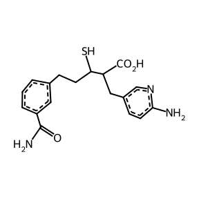 NC(=O)c1cccc(CCC(S)C(Cc2ccc(N)nc2)C(=O)O)c1